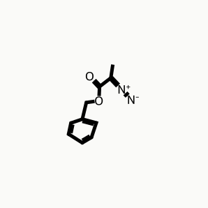 CC(=[N+]=[N-])C(=O)OCc1ccccc1